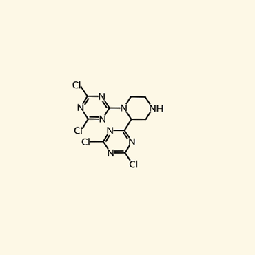 Clc1nc(Cl)nc(C2CNCCN2c2nc(Cl)nc(Cl)n2)n1